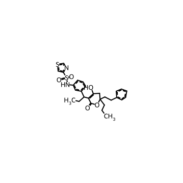 CCCC1(CCc2ccccc2)CC(O)=C(C(CC)c2cccc(NS(=O)(=O)c3cscn3)c2)C(=O)O1